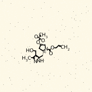 C=CCOC(=O)N1C[C@H](OS(C)(=O)=O)C[C@H]1Cc1[nH]nc(C)c1CO